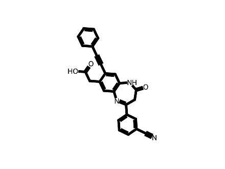 N#Cc1cccc(C2=Nc3cc(CC(=O)O)c(C#Cc4ccccc4)cc3NC(=O)C2)c1